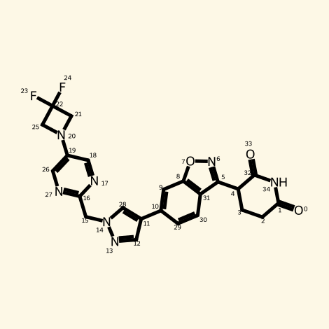 O=C1CCC(c2noc3cc(-c4cnn(Cc5ncc(N6CC(F)(F)C6)cn5)c4)ccc23)C(=O)N1